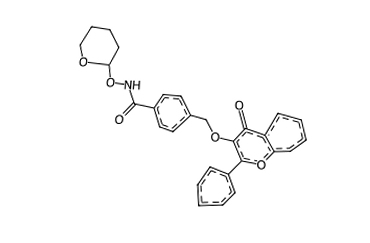 O=C(NOC1CCCCO1)c1ccc(COc2c(-c3ccccc3)oc3ccccc3c2=O)cc1